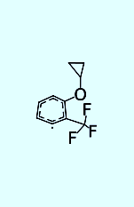 FC(F)(F)c1[c]cccc1OC1CC1